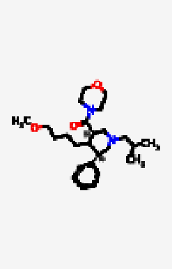 COCCCCC1[C@@H](C(=O)N2CCOCC2)CN(CC(C)C)C[C@@H]1c1[c]cccc1